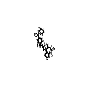 CC1CCCN(C(=O)c2ccc(Nc3ncc4c(n3)-c3ccccc3N(C)C(=O)C4)cc2)C1